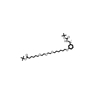 C[C@@H](NC(=O)OC(C)(C)C)c1cccc(OCCCCCCOCCOCCOCCCCCC(=O)OC(C)(C)C)c1